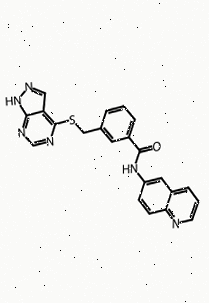 O=C(Nc1ccc2ncccc2c1)c1cccc(CSc2ncnc3[nH]ncc23)c1